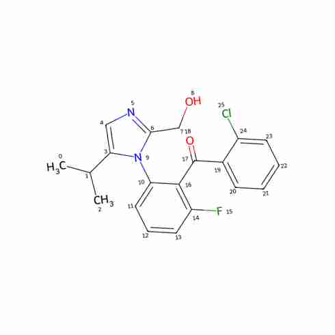 CC(C)c1cnc(CO)n1-c1cccc(F)c1C(=O)c1ccccc1Cl